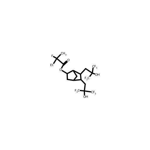 CCC(C)(F)C(=O)OC1CC2CC1C(CC(O)(C(F)(F)F)C(F)(F)F)C2CC(O)(C(F)(F)F)C(F)(F)F